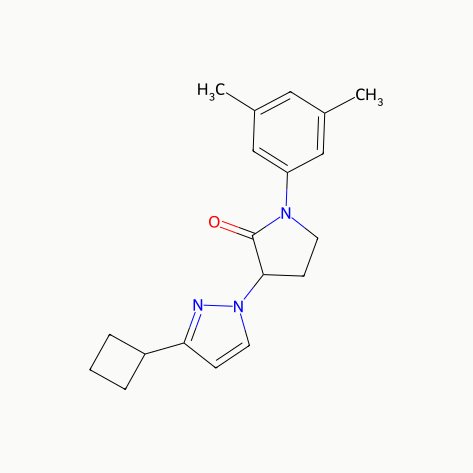 Cc1cc(C)cc(N2CCC(n3ccc(C4CCC4)n3)C2=O)c1